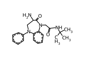 CC(C)(C)NC(=O)CN1C(=O)C(N)CN(c2ccccc2)c2ccccc21